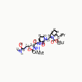 COC(=O)N[C@@H](CC/C=C/C(=O)N(C)C)C(=O)Nc1cccn(Cc2cc3cccc(CC(C)C)c3n2C(=O)OC(C)(C)C)c1=O